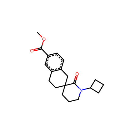 COC(=O)c1ccc2c(c1)CCC1(CCCN(C3CCC3)C1=O)C2